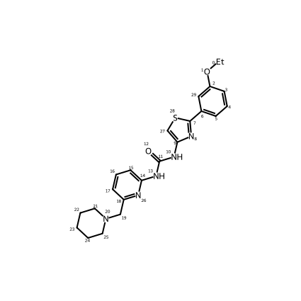 CCOc1cccc(-c2nc(NC(=O)Nc3cccc(CN4CCCCC4)n3)cs2)c1